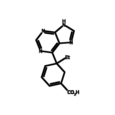 CCC1(c2ncnc3[nH]cnc23)C=CC=C(C(=O)O)C1